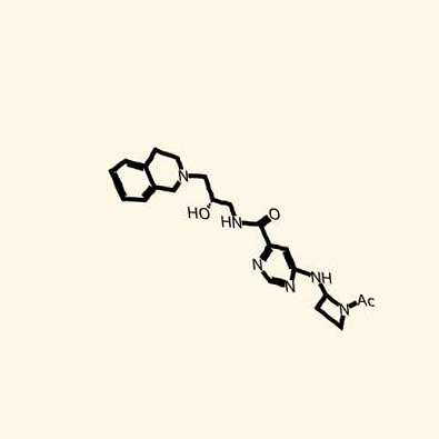 CC(=O)N1CCC1Nc1cc(C(=O)NC[C@H](O)CN2CCc3ccccc3C2)ncn1